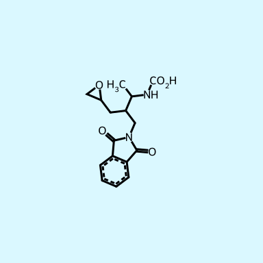 CC(NC(=O)O)C(CC1CO1)CN1C(=O)c2ccccc2C1=O